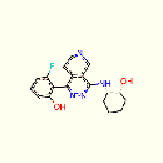 Oc1cccc(F)c1-c1nnc(N[C@H]2CCCC[C@H]2O)c2cnccc12